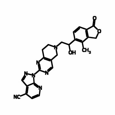 Cc1c(C(O)CN2CCc3nc(-n4ncc5c(C#N)ccnc54)ncc3C2)ccc2c1COC2=O